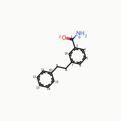 NC(=O)c1cccc(CCc2ccccc2)c1